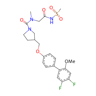 COc1cc(F)c(F)cc1-c1ccc(OCC2CCN(C(=O)N(C)CC(=O)NS(C)(=O)=O)C2)cc1